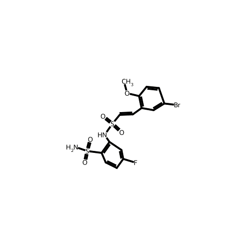 COc1ccc(Br)cc1C=CS(=O)(=O)Nc1cc(F)ccc1S(N)(=O)=O